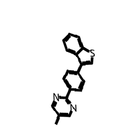 Cc1cnc(-c2ccc(-c3csc4ccccc34)cc2)nc1